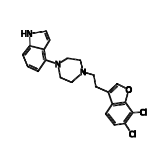 Clc1ccc2c(CCN3CCN(c4cccc5[nH]ccc45)CC3)coc2c1Cl